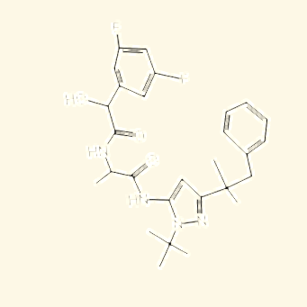 CC(NC(=O)C(O)c1cc(F)cc(F)c1)C(=O)Nc1cc(C(C)(C)Cc2ccccc2)nn1C(C)(C)C